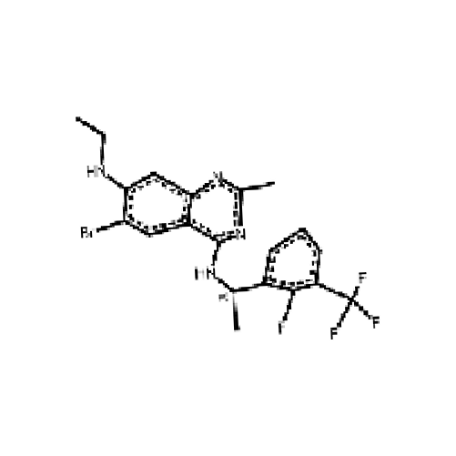 CCNc1cc2nc(C)nc(N[C@H](C)c3cccc(C(F)(F)F)c3F)c2cc1Br